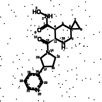 O=C(NO)[C@H]1CC2(CC2)CN[C@@H]1C(=O)N1CCC(c2cccnc2)C1